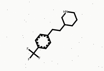 FC(F)(F)c1ccc(CCC2CCCNC2)cc1